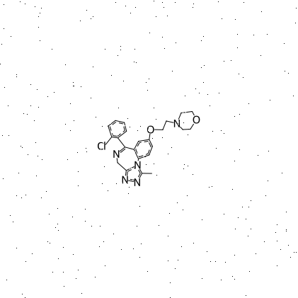 Cc1nnc2n1-c1ccc(OCCN3CCOCC3)cc1C(c1ccccc1Cl)=NC2